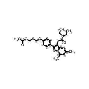 CCN(CC)C(=O)Cc1c(-c2ccc(OCCCOC(C)=O)cc2)nn2c(C)cc(C)nc12